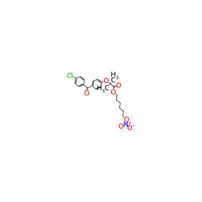 CC(C)(Oc1ccc(C(=O)c2ccc(Cl)cc2)cc1)C(=O)OCCCCCCO[N+](=O)[O-]